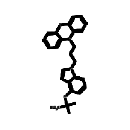 CC(C)(Oc1cccc2c1ccn2CCCN1c2ccccc2Oc2ccccc21)C(=O)O